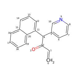 C=CC(=O)C(c1cccnc1)c1cccc2ccccc12